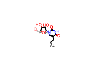 CC(=O)CCc1cn([C@@H]2O[C@H](CO)C(O)[C@@H]2O)c(=O)[nH]c1=O